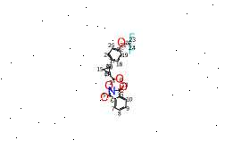 O=C(ON1C(=O)c2ccccc2C1=O)[C@H]1C[C@@H]1c1ccc(OC(F)F)cc1